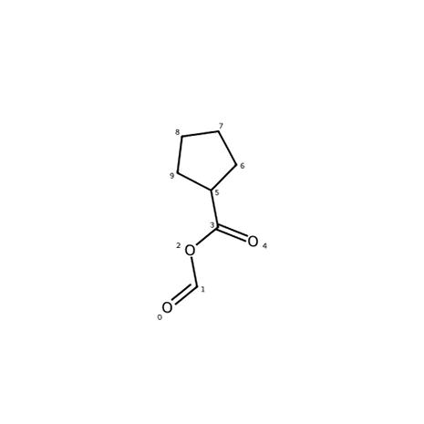 O=COC(=O)C1CCCC1